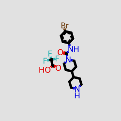 O=C(Nc1ccc(Br)cc1)N1CCC(C2CCNCC2)CC1.O=C(O)C(F)(F)F